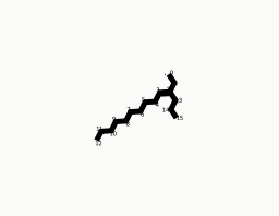 [CH2]CC(=CCCCCCCCCC)CCC